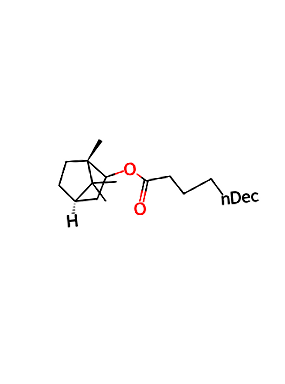 CCCCCCCCCCCCCC(=O)OC1C[C@H]2CC[C@@]1(C)C2(C)C